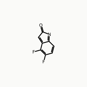 O=C1C=c2c(F)c(F)ccc2=N1